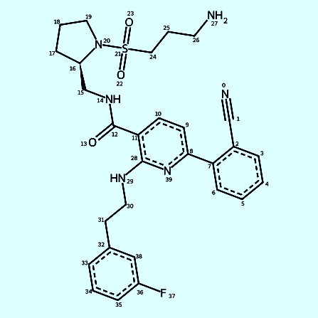 N#Cc1ccccc1-c1ccc(C(=O)NC[C@H]2CCCN2S(=O)(=O)CCCN)c(NCCc2cccc(F)c2)n1